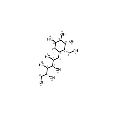 OC[C@@H]1[C@@H](C[C@H](O)[C@@H](O)[C@H](O)[C@H](O)CO)C[C@@H](O)[C@@H](O)[C@@H]1O